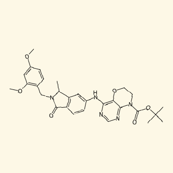 COc1ccc(CN2C(=O)c3ccc(Nc4ncnc5c4OCCN5C(=O)OC(C)(C)C)cc3C2C)c(OC)c1